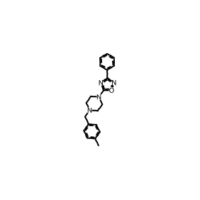 Cc1ccc(CN2CCN(c3nc(-c4ccccc4)no3)CC2)cc1